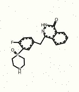 O=c1[nH]nc(Cc2ccc(F)c(P3(=O)CCNCC3)c2)c2ccccc12